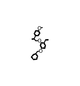 C=Cc1ccc(OCc2ccccc2)cc1OCC(=C)c1ccc(OC)cc1